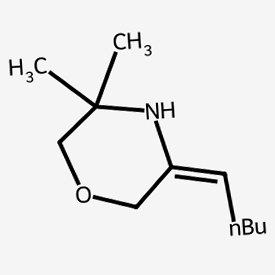 CCCCC=C1COCC(C)(C)N1